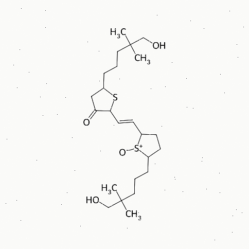 CC(C)(CO)CCCC1CC(=O)C(C=CC2CCC(CCCC(C)(C)CO)[S+]2[O-])S1